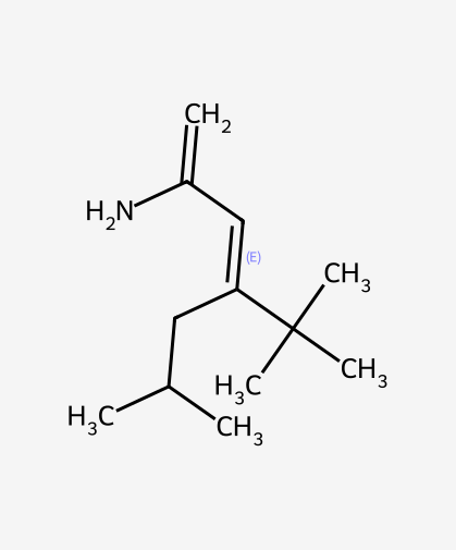 C=C(N)/C=C(\CC(C)C)C(C)(C)C